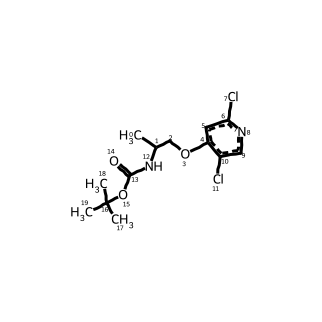 CC(COc1cc(Cl)ncc1Cl)NC(=O)OC(C)(C)C